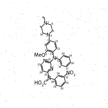 COc1cc(N2CCN(C)CC2)ccc1N(c1ccccc1)c1nccc(N(C(=O)O)c2cccc([N+](=O)[O-])c2)n1